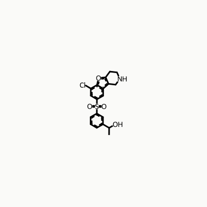 CC(O)c1cccc(S(=O)(=O)c2cc(Cl)c3oc4c(c3c2)CNCC4)c1